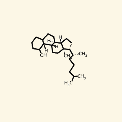 CC(C)CCC[C@@H](C)[C@H]1CC[C@H]2[C@@H]3CCC4CCCC(O)[C@H]4[C@H]3CC[C@]12C